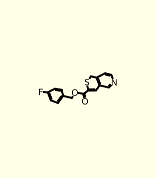 O=C(OCc1ccc(F)cc1)C1=Cc2cnccc2CS1